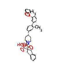 COc1cccc(-c2ccc(C3CCN(S(=O)(=O)C4(C(=O)O)Cc5ccccc5C4)CC3)cc2C)c1